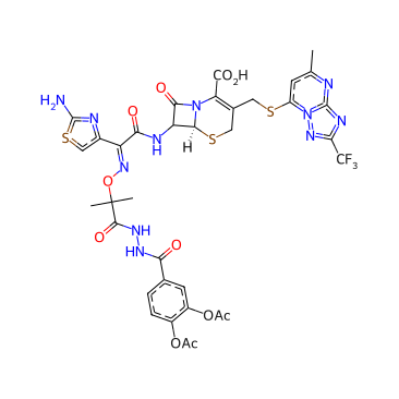 CC(=O)Oc1ccc(C(=O)NNC(=O)C(C)(C)ON=C(C(=O)NC2C(=O)N3C(C(=O)O)=C(CSc4cc(C)nc5nc(C(F)(F)F)nn45)CS[C@@H]23)c2csc(N)n2)cc1OC(C)=O